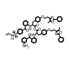 CCCNS(=O)(=O)c1ccc(C(=O)c2ccccc2NC(Cc2ccc(OCCc3nc(-c4ccccc4)oc3C)cc2)C(=O)OC(=O)C(Cc2ccc(OCCc3nc(-c4ccccc4)oc3C)cc2)Nc2ccccc2C(=O)c2cccc(N)c2)cc1